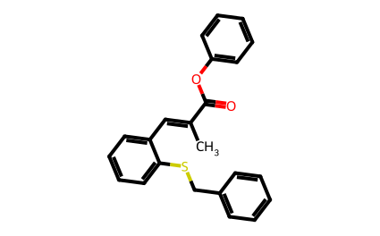 CC(=Cc1ccccc1SCc1ccccc1)C(=O)Oc1ccccc1